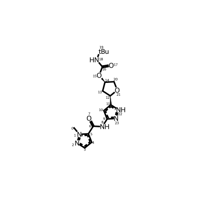 Cn1nccc1C(=O)Nc1cc([C@H]2C[C@@H](OC(=O)NC(C)(C)C)CO2)[nH]n1